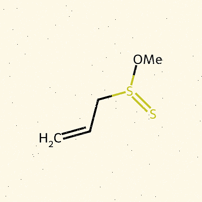 C=CCS(=S)OC